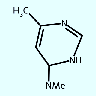 CNC1C=C(C)N=CN1